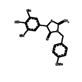 C=C1SC(c2cc(C(C)(C)C)c(O)c(C(C)(C)C)c2)C(=O)N1Cc1ccc(OC)cc1